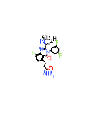 CC(NC(=O)O)c1nc2c(F)ccc(CCC(N)=O)c2c(=O)n1-c1cc(F)cc(F)c1